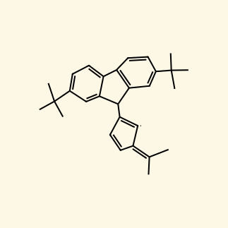 CC(C)=C1[C]=C(C2c3cc(C(C)(C)C)ccc3-c3ccc(C(C)(C)C)cc32)C=C1